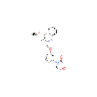 CCCCOc1c(C)c(COc2cccc(N3CCOCC3=O)c2)nc2ccccc12